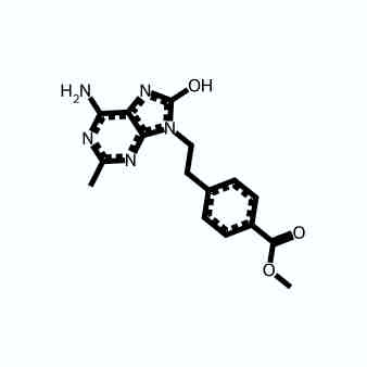 COC(=O)c1ccc(CCn2c(O)nc3c(N)nc(C)nc32)cc1